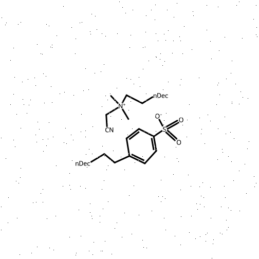 CCCCCCCCCCCC[N+](C)(C)CC#N.CCCCCCCCCCCCc1ccc(S(=O)(=O)[O-])cc1